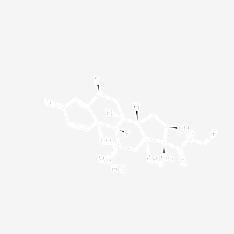 C[C@@H]1C[C@H]2[C@@H]3C[C@H](F)C4=CC(=O)C=C[C@]4(C)[C@@]3(F)[C@@H](O)C[C@]2(C)[C@@]1(O)C(=O)SCF.Cl